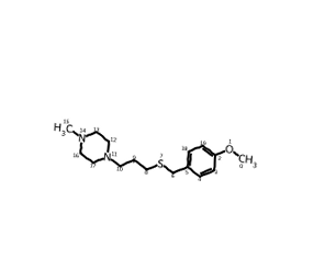 COc1ccc(CSC[CH]CN2CCN(C)CC2)cc1